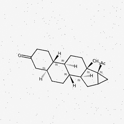 CC(=O)[C@@]12CC1C[C@H]1[C@@H]3CC[C@H]4CC(=O)CC[C@@H]4[C@H]3CC[C@@]12C